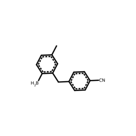 Bc1ccc(C)cc1Cc1ccc(C#N)cc1